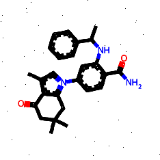 Cc1cn(-c2ccc(C(N)=O)c(NC(C)c3ccccc3)c2)c2c1C(=O)CC(C)(C)C2